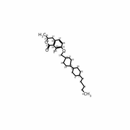 CCCCCC1CCC(C2CCC(COc3ccc4c(c3F)C(=O)OC(C)C4)CC2)CC1